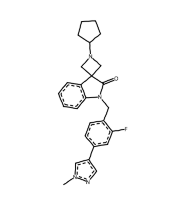 Cn1cc(-c2ccc(CN3C(=O)C4(CN(C5CCCC5)C4)c4ccccc43)c(F)c2)cn1